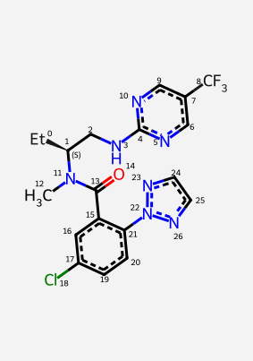 CC[C@@H](CNc1ncc(C(F)(F)F)cn1)N(C)C(=O)c1cc(Cl)ccc1-n1nccn1